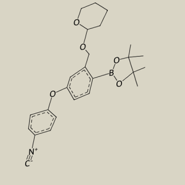 [C-]#[N+]c1ccc(Oc2ccc(B3OC(C)(C)C(C)(C)O3)c(COC3CCCCO3)c2)cc1